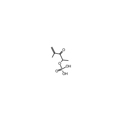 C=C(C)C(=O)C(C)OP(=O)(O)O